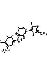 COc1nc(C)c(-c2ccnc(Nc3ccc(C)c([N+](=O)[O-])c3)n2)s1